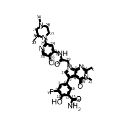 Cc1nc2c(c(-c3cc(F)c(O)c(C(N)=O)c3)cn2CC(=O)Nc2cc(N3CCN(C)C[C@@H]3C)ncc2Cl)c(=O)n1C